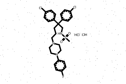 CS(=O)(=O)NCC(CCCN1CCN(c2ccc(F)cc2)CC1)(c1ccc(Cl)cc1)c1ccc(Cl)cc1.Cl.Cl